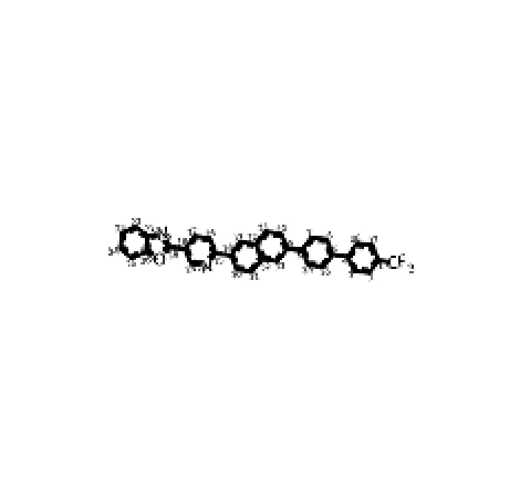 FC(F)(F)c1ccc(-c2ccc(-c3ccc4cc(-c5ccc(-c6nc7ccccc7o6)cn5)ccc4c3)cc2)cc1